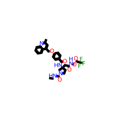 CCNC(=O)N1CCC(CC(=O)NOC(=O)C(F)(F)F)(NC(=O)c2ccc(OCc3cc(C)nc4ccccc34)cc2)C1